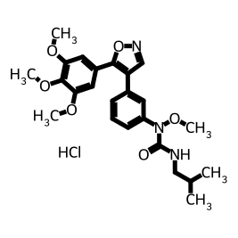 COc1cc(-c2oncc2-c2cccc(N(OC)C(=O)NCC(C)C)c2)cc(OC)c1OC.Cl